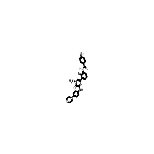 Cn1cc(-c2cccc(NC(=O)c3ccc(C(C)(C)C)cc3)c2F)nc(Nc2ccc(N3CCOCC3)cc2)c1=O